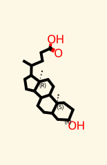 CC(CCC(=O)O)C1CCC2C3CCC4C[C@H](O)CC[C@]4(C)C3CC[C@]12C